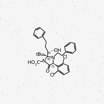 CC(C)(C)[C@]1([C@@H](O)CCc2ccccc2)N(C(=O)O)C(=O)[C@H](c2c(Cl)cccc2Cl)N1CCc1ccccc1